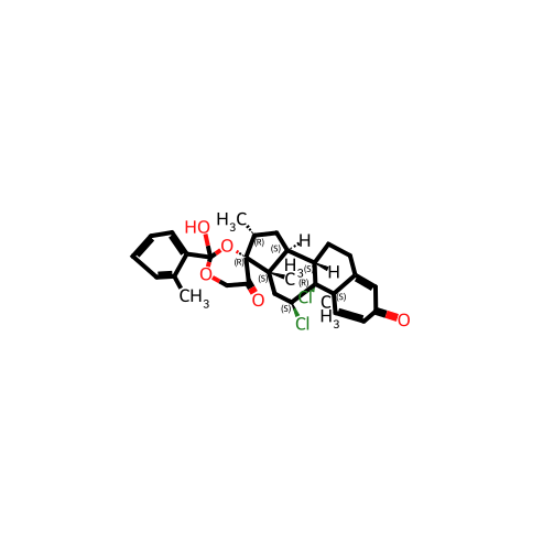 Cc1ccccc1C1(O)OCC(=O)[C@@]2(O1)[C@H](C)C[C@H]1[C@@H]3CCC4=CC(=O)C=C[C@]4(C)[C@@]3(Cl)[C@@H](Cl)C[C@@]12C